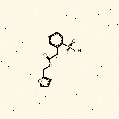 O=C(Cc1ccccc1S(=O)(=O)O)OCc1ccco1